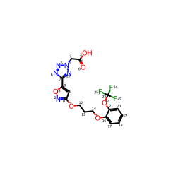 O=C(O)Cn1nnc(-c2cc(OCCCOc3ccccc3OC(F)(F)F)no2)n1